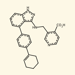 O=C(O)c1ccncc1CNc1n[nH]c2cccc(-c3ccc(C4=CCCCC4)cc3)c12